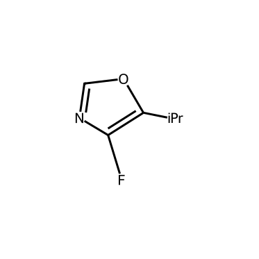 CC(C)c1ocnc1F